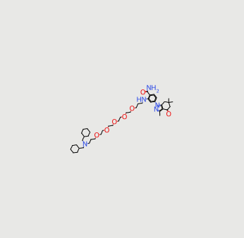 Cc1nn(-c2ccc(C(N)=O)c(NCCCOCCOCCOCCOCCOCCCN(CC3CCCCC3)CC3CCCCC3)c2)c2c1C(=O)CC(C)(C)C2